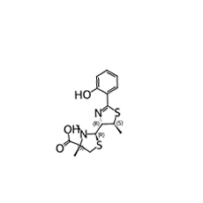 C[C@@H]1SC(c2ccccc2O)=N[C@H]1[C@H]1SC[C@](C)(C(=O)O)N1C